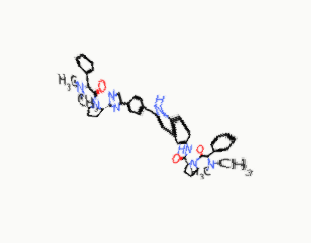 CN(C)[C@@H](C(=O)N1CCC[C@H]1C(=O)Nc1ccc2[nH]c(-c3ccc(C4=NC([C@@H]5CCCN5C(=O)[C@@H](c5ccccc5)N(C)C)=NC4)cc3)cc2c1)c1ccccc1